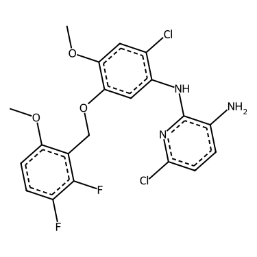 COc1cc(Cl)c(Nc2nc(Cl)ccc2N)cc1OCc1c(OC)ccc(F)c1F